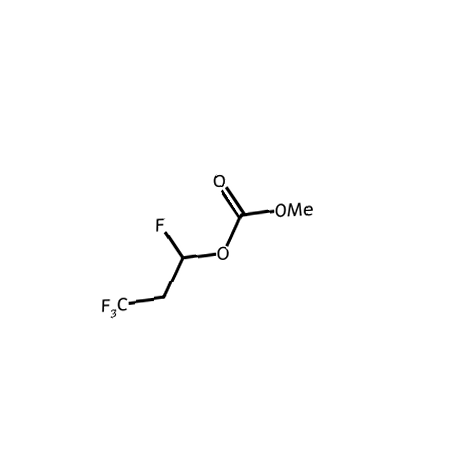 COC(=O)OC(F)CC(F)(F)F